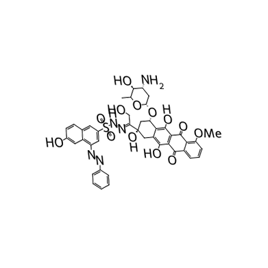 COc1cccc2c1C(=O)c1c(O)c3c(c(O)c1C2=O)C[C@](O)(/C(CO)=N/NS(=O)(=O)c1cc(N=Nc2ccccc2)c2cc(O)ccc2c1)C[C@@H]3O[C@H]1C[C@@H](N)[C@H](O)C(C)O1